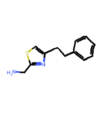 NCc1nc(CCc2ccccc2)cs1